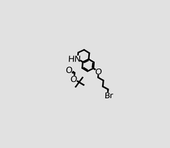 BrCCCCOc1ccc2c(c1)CCCN2.CC(C)(C)OC=O